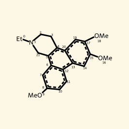 CCN1CCc2c(c3cc(OC)ccc3c3cc(OC)c(OC)cc23)C1